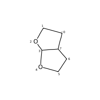 [CH]1COC2OCCC12